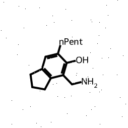 CCCCCc1cc2c(c(CN)c1O)CCC2